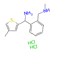 CNCc1ccccc1C(N)c1cc(C)cs1.Cl.Cl